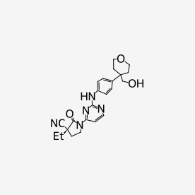 CC[C@]1(C#N)CCN(c2ccnc(Nc3ccc(C4(CO)CCOCC4)cc3)n2)C1=O